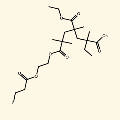 CCOC(=O)C(C)(CC(C)(C)C(=O)OCCOC(=O)CCF)CC(C)(CC)C(=O)O